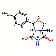 Cc1ccc(C2OC[C@@H]3C(=O)NC(=O)N23)cc1